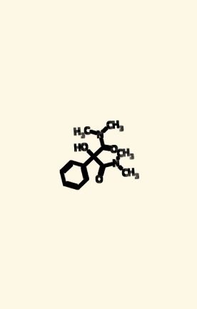 CN(C)C(=O)C(O)(C(=O)N(C)C)c1ccccc1